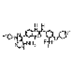 CN1CCC(Oc2ccc(NC(=O)Nc3ccc(-c4nn(C5CN(C)C5)c5ncnc(N)c45)cc3F)cc2C(F)(F)F)CC1